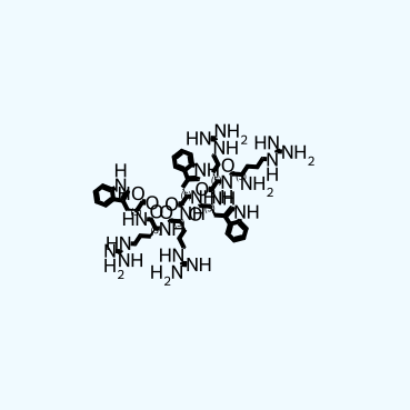 N=C(N)NCCC[C@H](NC(=O)[C@H](CCCNC(=N)N)NC(=O)[C@H](Cc1c[nH]c2ccccc12)NC(=O)[C@H](Cc1c[nH]c2ccccc12)NC(=O)[C@H](CCCNC(=N)N)NC(=O)[C@@H](N)CCCNC(=N)N)C(=O)N[C@@H](Cc1c[nH]c2ccccc12)C(=O)O